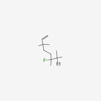 C=CC(C)(C)CCC(C)(F)C(C)(C)CC